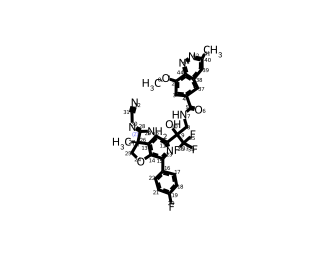 COc1cc(C(=O)NCC(O)(c2cc3c(c(-c4ccc(F)cc4)n2)OC[C@]3(C)/C(N)=N/C#N)C(F)(F)F)cc2cc(C)nnc12